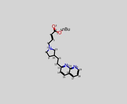 CCCCOC(=O)C=CCN1CCC(CCc2ccc3cccnc3n2)C1